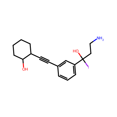 NCCC(O)(I)c1cccc(C#CC2CCCCC2O)c1